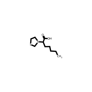 CCCCCC(C(=O)O)N1CCSC1